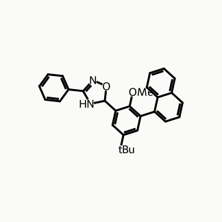 COc1c(-c2cccc3ccccc23)cc(C(C)(C)C)cc1C1NC(c2ccccc2)=NO1